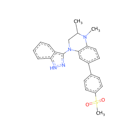 CC1CN(c2n[nH]c3ccccc23)c2cc(-c3ccc(S(C)(=O)=O)cc3)ccc2N1C